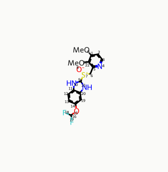 COc1ccnc(C[S+]([O-])C2Nc3ccc(OC(F)F)cc3N2)c1OC